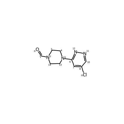 O=[C]N1CCN(c2cc(Cl)cnn2)CC1